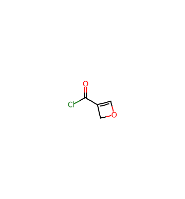 O=C(Cl)C1=COC1